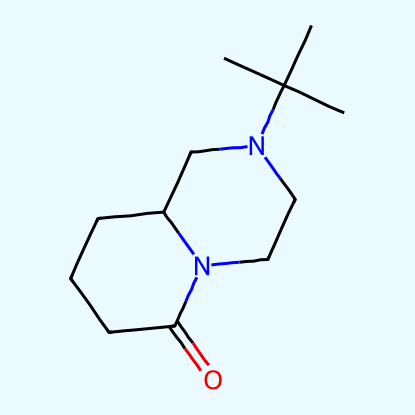 CC(C)(C)N1CCN2C(=O)CCCC2C1